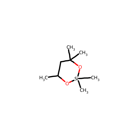 CC1CC(C)(C)O[Si](C)(C)O1